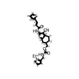 CCn1nccc1CNC(=O)OCC1CCc2c(sc(NC(=O)C=Cc3cccs3)c2C#N)C1